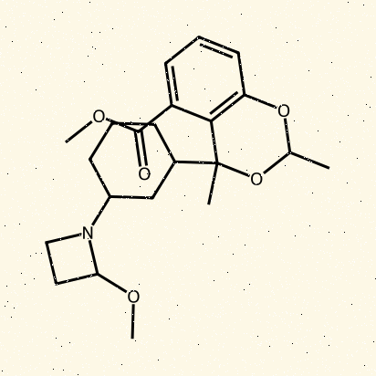 COC(=O)c1cccc2c1C(C)(C1CCCC(N3CCC3OC)C1)OC(C)O2